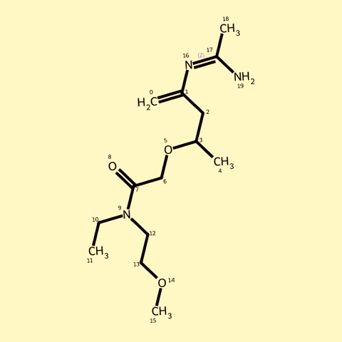 C=C(CC(C)OCC(=O)N(CC)CCOC)/N=C(/C)N